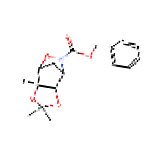 CC1(C)OC2C3CC(ON3C(=O)OCc3ccccc3)[C@H]2O1